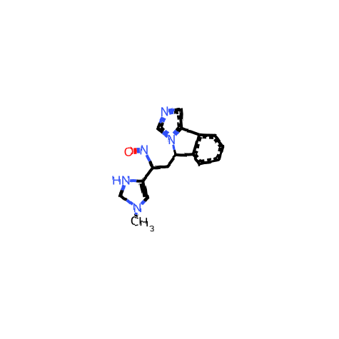 CN1C=C(C(CC2c3ccccc3-c3cncn32)N=O)NC1